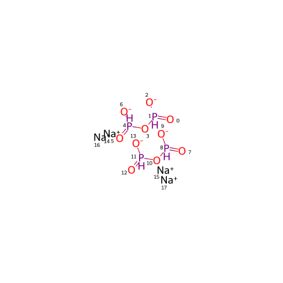 O=[PH]([O-])O[PH](=O)[O-].O=[PH]([O-])O[PH](=O)[O-].[Na+].[Na+].[Na+].[Na+]